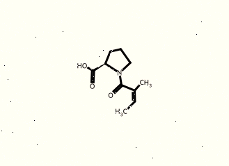 C/C=C(/C)C(=O)N1CCC[C@@H]1C(=O)O